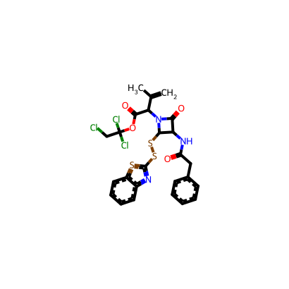 C=C(C)C(C(=O)OC(Cl)(Cl)CCl)N1C(=O)C(NC(=O)Cc2ccccc2)C1SSc1nc2ccccc2s1